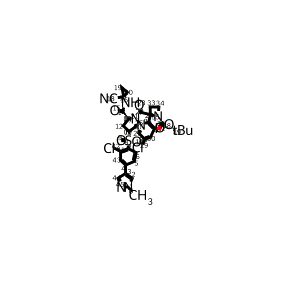 Cn1cc(-c2ccc(S(=O)(=O)[C@@H]3C[C@@H](C(=O)NC4(C#N)CC4)N(C(=O)C4(c5ncc(Cl)cc5F)CCN4C(=O)OC(C)(C)C)C3)c(Cl)c2)cn1